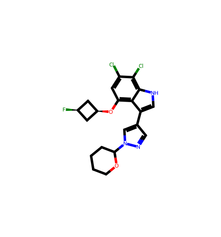 F[C@H]1C[C@@H](Oc2cc(Cl)c(Cl)c3[nH]cc(-c4cnn(C5CCCCO5)c4)c23)C1